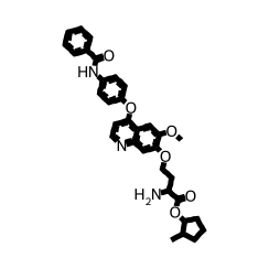 COc1cc2c(Oc3ccc(NC(=O)c4ccccc4)cc3)ccnc2cc1OCCC(N)C(=O)OC1CCCC1C